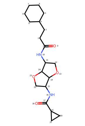 O=C(CCC1CCCCC1)NC1COC2C(NC(=O)C3CC3)COC12